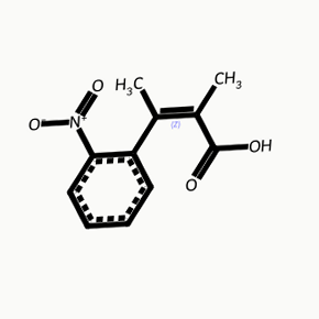 C/C(C(=O)O)=C(\C)c1ccccc1[N+](=O)[O-]